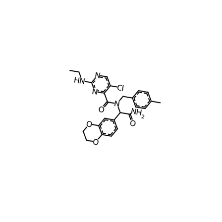 CCNc1ncc(Cl)c(C(=O)N(Cc2ccc(C)cc2)C(C(N)=O)c2ccc3c(c2)OCCO3)n1